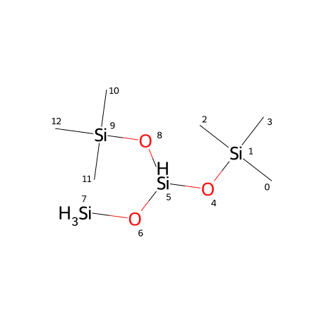 C[Si](C)(C)O[SiH](O[SiH3])O[Si](C)(C)C